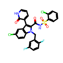 O=C(NS(=O)(=O)c1ccccc1Cl)c1c(-c2ccc[nH]c2=O)c2cc(Cl)ccc2n1Cc1cc(F)ccc1F